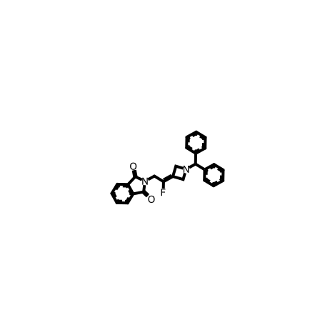 O=C1c2ccccc2C(=O)N1CC(F)=C1CN(C(c2ccccc2)c2ccccc2)C1